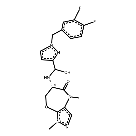 CN1C(=O)[C@@H](NC(O)c2ccn(Cc3ccc(F)c(F)c3)n2)COc2c1cnn2C